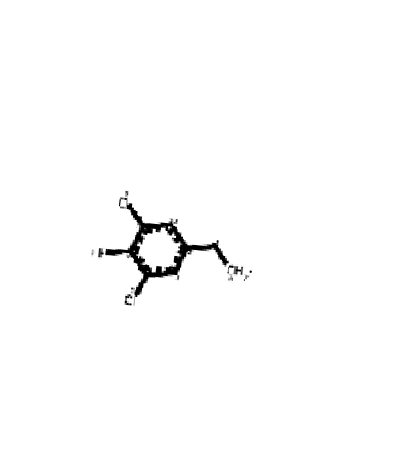 [CH2]Cc1cc(Cl)c(F)c(Cl)c1